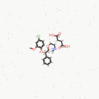 COc1cc(Cl)ccc1O[C@H](c1ccccc1)[C@H]1CNCCO1.O=C(O)CCC(=O)O